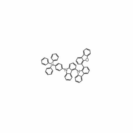 c1ccc([Si](c2ccccc2)(c2ccccc2)c2ccc(-n3c4ccccc4c4c(-n5c6ccccc6c6cccc(-c7cccc8c7oc7ccccc78)c65)cccc43)cc2)cc1